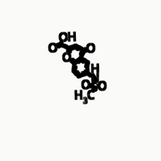 CS(=O)(=O)Nc1ccc2oc(C(=O)O)cc(=O)c2c1